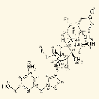 C[C@]12C=CC(=O)C=C1[C@@H](F)C[C@H]1[C@@H]3C[C@H]4O[C@@H](c5ccn(Cc6cc(N)cc(CO)c6)c5)O[C@@]4(C(=O)SCF)[C@@]3(C)C[C@H](O)[C@@]12F